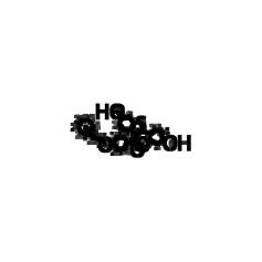 Oc1ccc(-c2sc3cc(O)ccc3c2C2(c3ccc(OCCN4CCCCC4)cc3)OO2)cc1